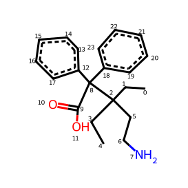 CCC(CC)(CCN)C(C(=O)O)(c1ccccc1)c1ccccc1